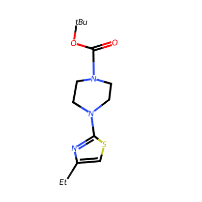 CCc1csc(N2CCN(C(=O)OC(C)(C)C)CC2)n1